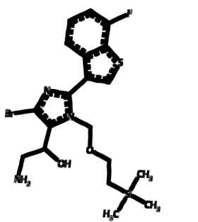 C[Si](C)(C)CCOCn1c(-c2csc3c(F)cccc23)nc(Br)c1C(O)CN